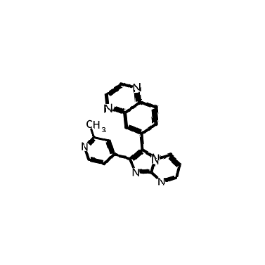 Cc1cc(-c2nc3ncccn3c2-c2ccc3nccnc3c2)ccn1